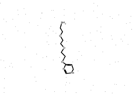 NCCOCCOCCOC1=CCPC=N1